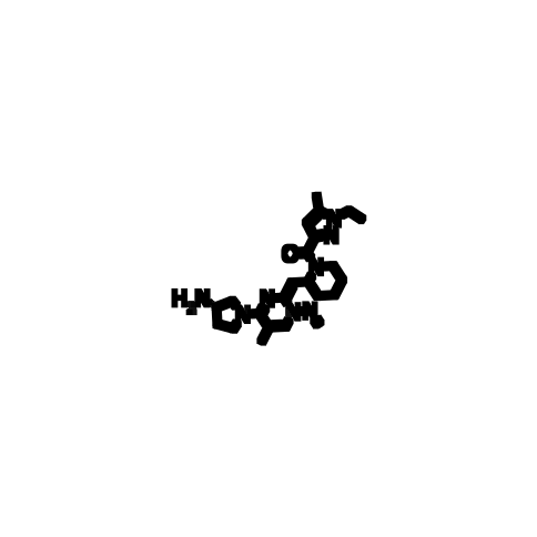 C=NN1C=C(C)C(N2CC[C@H](N)C2)=N/C1=C/C1CCCCN1C(=O)c1cc(C)n(CC)n1